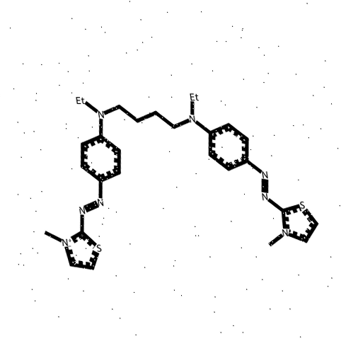 CCN(CCCCN(CC)c1ccc(N=Nc2scc[n+]2C)cc1)c1ccc(N=Nc2scc[n+]2C)cc1